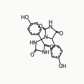 O=C1NC(=O)C(c2ccc(O)cc2)(N2C(=O)NC(=O)C2c2ccc(O)cc2)N1